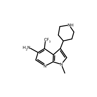 Cn1cc(C2CCNCC2)c2c(C(F)(F)F)c(N)cnc21